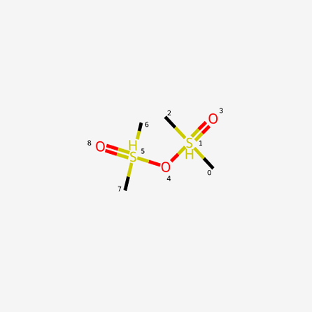 C[SH](C)(=O)O[SH](C)(C)=O